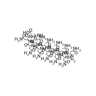 NC(=O)C[C@H](NC(=O)[C@H](CC(N)=O)NC(=O)[C@H](CC(N)=O)NC(=O)[C@H](CC(N)=O)NC(=O)[C@H](CC(N)=O)NC(=O)[C@H](CC(N)=O)NC(=O)[C@H](CC(N)=O)NC(=O)[C@H](CC(N)=O)NC(=O)[C@H](CC(N)=O)NC(=O)[C@H](CC(N)=O)NC(=O)[C@H](CC(N)=O)NC(=O)[C@@H](N)CC(N)=O)C(=O)O